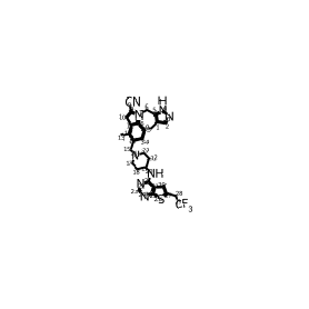 Cc1cn[nH]c1Cn1c(C#N)cc2c(C)c(CN3CCC(Nc4ncnc5sc(CC(F)(F)F)cc45)CC3)ccc21